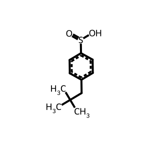 CC(C)(C)Cc1ccc(S(=O)O)cc1